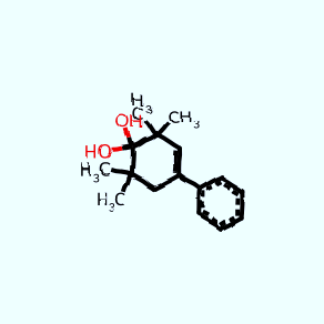 CC1(C)C=C(c2ccccc2)CC(C)(C)C1(O)O